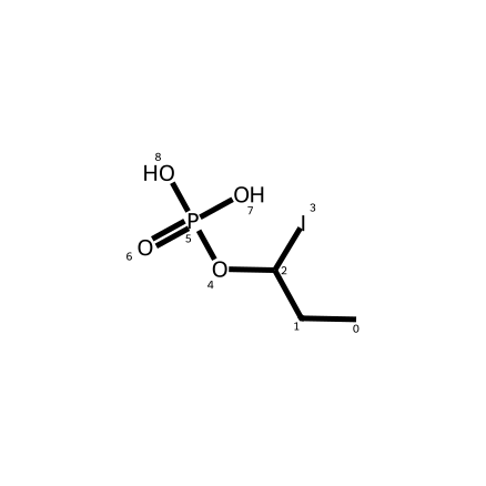 CCC(I)OP(=O)(O)O